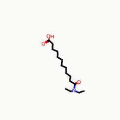 CCN(CC)C(=O)CCCCCCCCCCC(=O)O